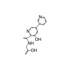 C=C(O)CNC(=C)c1ncc(-c2cccnc2)cc1O